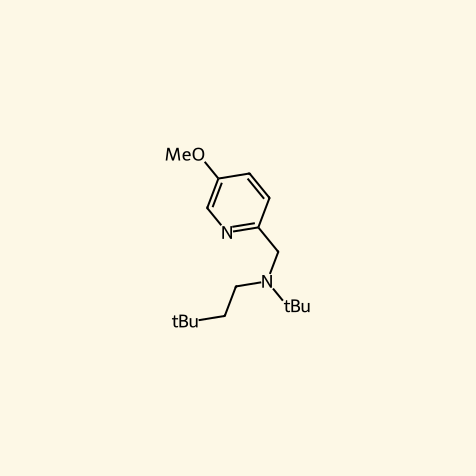 COc1ccc(CN(CCC(C)(C)C)C(C)(C)C)nc1